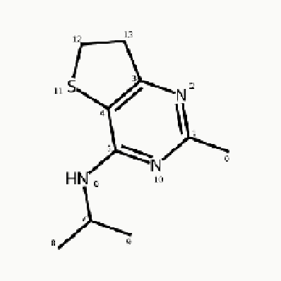 Cc1nc2c(c(NC(C)C)n1)SCC2